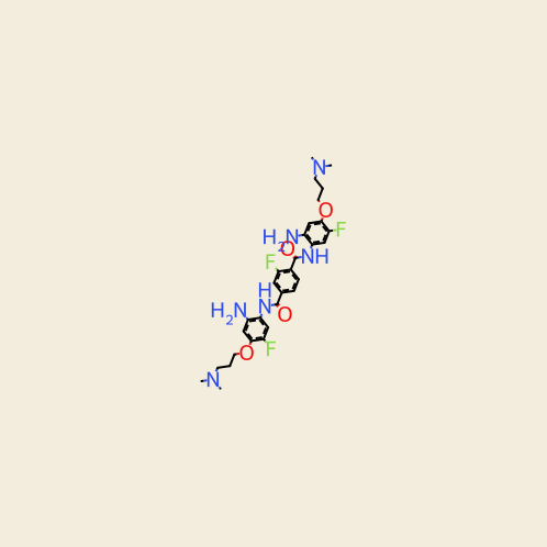 CN(C)CCCOc1cc(N)c(NC(=O)c2ccc(C(=O)Nc3cc(F)c(OCCCN(C)C)cc3N)c(F)c2)cc1F